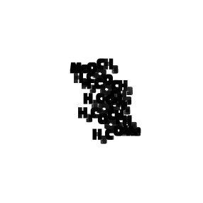 COc1c(C)cc(Oc2c(C)cc(C(C)(C)c3cc(C)c(Oc4cc(C)c(OC)c(C)c4)c(C)c3C)c(C)c2C)cc1C